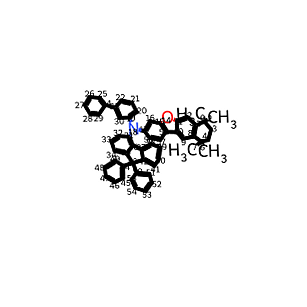 CC1(C)CCC(C)(C)c2cc3c(cc21)oc1cc(N(c2cccc(-c4ccccc4)c2)c2cccc4c2-c2ccccc2C4(c2ccccc2)c2ccccc2)ccc13